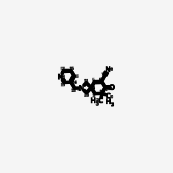 CC1(C)CC2(C=C(C#N)C1=O)CN(Cc1cccnc1)C2